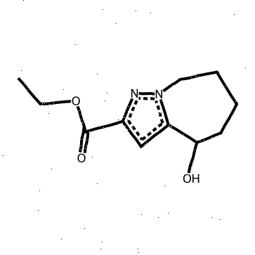 CCOC(=O)c1cc2n(n1)CCCCC2O